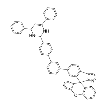 C1=C(c2ccccc2)NC(c2ccc(-c3cccc(-c4ccc5c(c4)C4(c6ccccc6Oc6ccccc64)c4ncccc4-5)c3)cc2)NC1c1ccccc1